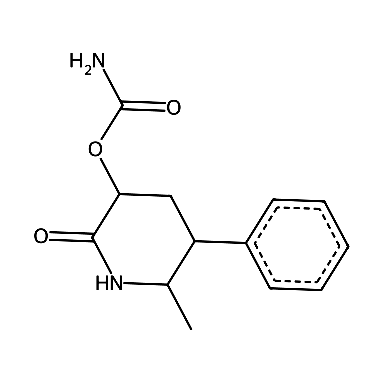 CC1NC(=O)C(OC(N)=O)CC1c1ccccc1